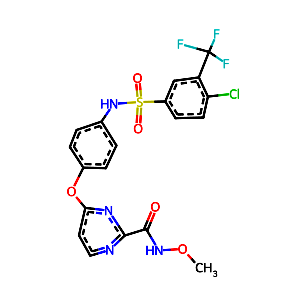 CONC(=O)c1nccc(Oc2ccc(NS(=O)(=O)c3ccc(Cl)c(C(F)(F)F)c3)cc2)n1